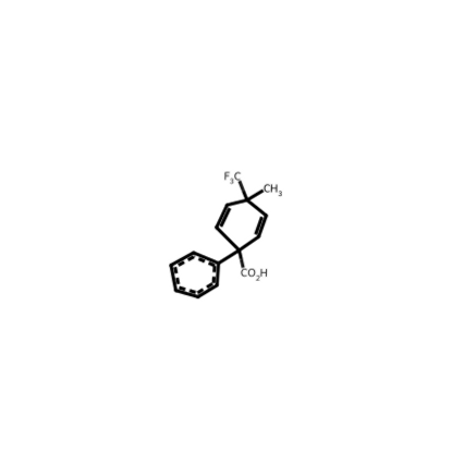 CC1(C(F)(F)F)C=CC(C(=O)O)(c2ccccc2)C=C1